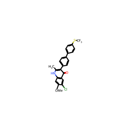 COc1cc2[nH]c(C)c(-c3ccc(-c4ccc(SC(F)(F)F)cc4)cc3)c(=O)c2cc1Cl